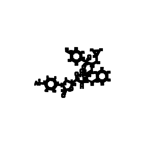 CC(=O)c1ccc(N2C[C@@H](C(=O)N[C@@H](Cc3ccccc3)[C@H](O)CN(CC3CC3)S(=O)(=O)c3ccc(C)cc3)OC2=O)cc1